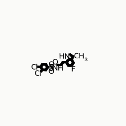 Cc1c[nH]c2c(C=CC(=O)NS(=O)(=O)c3ccc(Cl)c(Cl)c3)cc(F)cc12